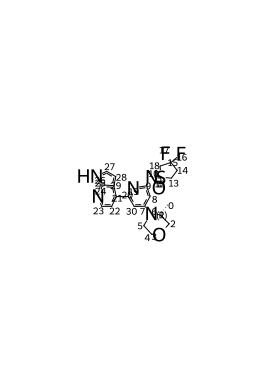 C[C@@H]1COCCN1c1cc(N=S2(=O)CCC(F)(F)C2)nc(-c2ccnc3[nH]ccc23)c1